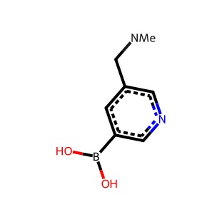 CNCc1cncc(B(O)O)c1